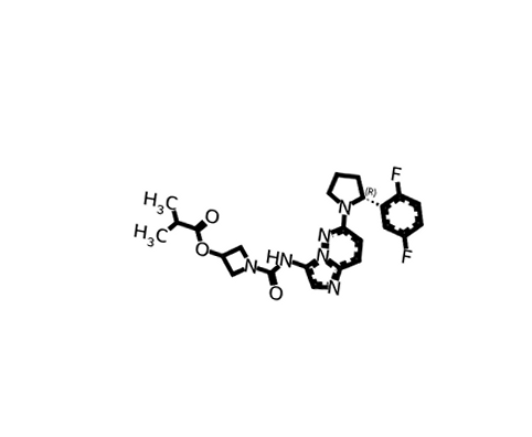 CC(C)C(=O)OC1CN(C(=O)Nc2cnc3ccc(N4CCC[C@@H]4c4cc(F)ccc4F)nn23)C1